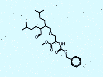 COC(=O)C(COCC(CCC(C)C)C(C=O)CCC(C)C)NC(=O)OCc1ccccc1